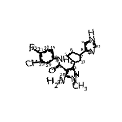 Cn1nc(C2CCC(c3c[nH]cn3)C2)c(C(=O)Nc2ccc(F)c(Cl)c2)c1N